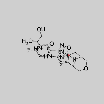 C[C@H](CO)NC(=O)Nc1nc2c(s1)C1COCC(C2)N1c1nc(-c2ccc(F)cc2)no1